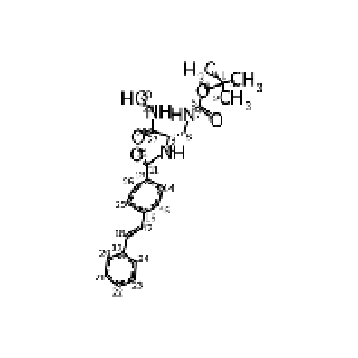 CC(C)(C)OC(=O)NC[C@H](NC(=O)c1ccc(/C=C/c2ccccc2)cc1)C(=O)NO